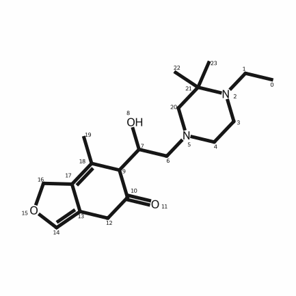 CCN1CCN(CC(O)C2C(=O)CC3=COCC3=C2C)CC1(C)C